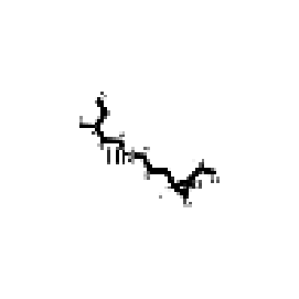 CCC(C)CCNCCC[C@]1(C)CC1CC